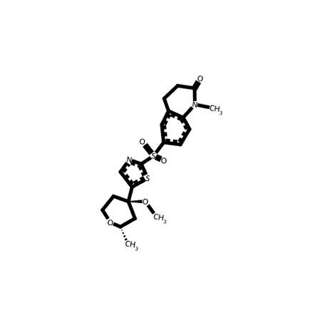 CO[C@]1(c2cnc(S(=O)(=O)c3ccc4c(c3)CCC(=O)N4C)s2)CCO[C@@H](C)C1